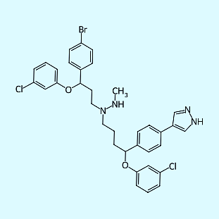 CNN(CCCC(Oc1cccc(Cl)c1)c1ccc(-c2cn[nH]c2)cc1)CCC(Oc1cccc(Cl)c1)c1ccc(Br)cc1